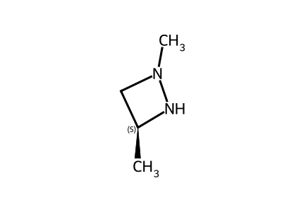 C[C@H]1CN(C)N1